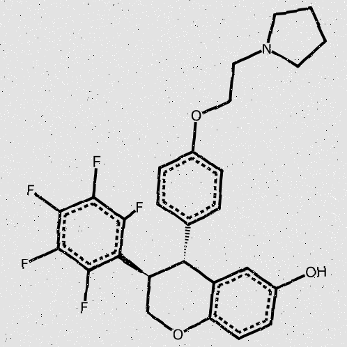 Oc1ccc2c(c1)[C@@H](c1ccc(OCCN3CCCC3)cc1)[C@H](c1c(F)c(F)c(F)c(F)c1F)CO2